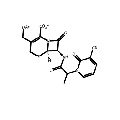 CC(=O)OCC1=C(C(=O)O)N2C(=O)[C@@H](NC(=O)C(C)n3cccc(C#N)c3=O)[C@H]2SC1